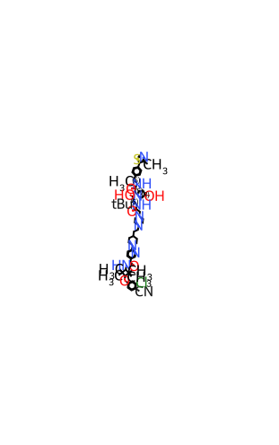 Cc1ncsc1-c1ccc([C@H](C)NC(=O)[C@@H]2C[C@@H](O)CN2C(O)[C@@H](NC(=O)CN2CCN(CCC3CCN(c4ccc(C(=O)NC5C(C)(C)C(Oc6ccc(C#N)c(Cl)c6)C5(C)C)cn4)CC3)CC2)C(C)(C)C)cc1